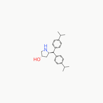 CC(C)c1ccc(C(c2ccc(C(C)C)cc2)[C@H]2C[C@H](O)CN2)cc1